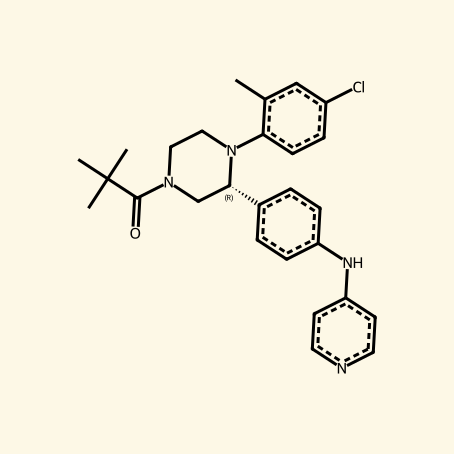 Cc1cc(Cl)ccc1N1CCN(C(=O)C(C)(C)C)C[C@H]1c1ccc(Nc2ccncc2)cc1